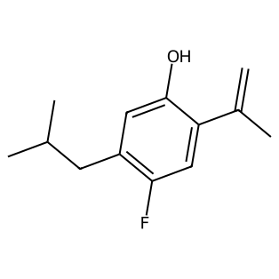 C=C(C)c1cc(F)c(CC(C)C)cc1O